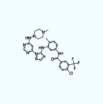 Cc1ccc(NC(=O)c2ccc(Cl)c(C(F)(F)F)c2)cc1Nc1ncnn1-c1cc(NN2CCN(C)CC2)ncn1